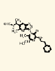 Cc1nc2c(cc1C(C)NC=O)nnn2-n1c(C)cnc(NCCc2ccccc2)c1=O.Cl.Cl